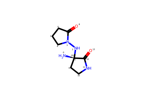 N[C@]1(NN2CCCC2=O)CCNC1=O